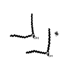 CCCCCCCCCCCCCCCCCC[N+](C)(CCO)CCCCCCCCCCCCCCCCCC.CCCCCCCCCCCCCCCCCC[N+](C)(CCO)CCCCCCCCCCCCCCCCCC.O=S(=O)([O-])[O-]